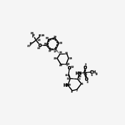 CS(=O)(=O)N[C@H]1CCCN[C@H]1CO[C@H]1CC[C@@H](c2cccc(OC(F)(F)F)c2)CC1